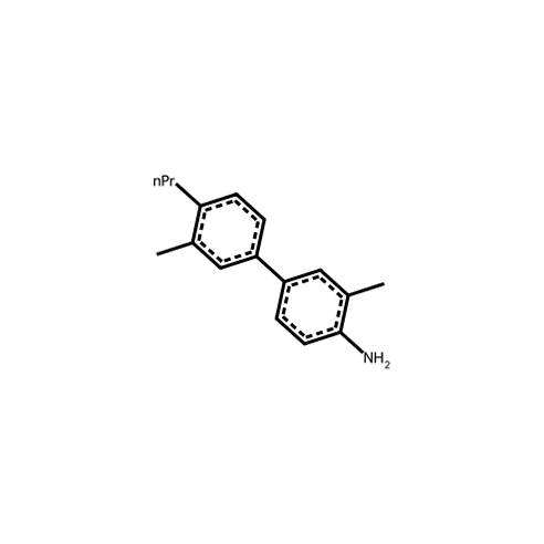 CCCc1ccc(-c2ccc(N)c(C)c2)cc1C